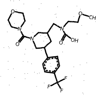 COCCN(CC1CC(c2ccc(C(F)(F)F)cc2)CN(C(=O)N2CCOCC2)C1)C(=O)O